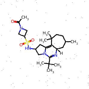 CC(=O)N1CC(S(=O)(=O)NC2CC3=C4[C@H](CC(C)CCC4(C)C)N=C(C(C)(C)C)N3C2)C1